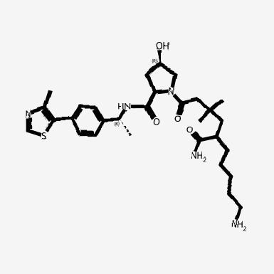 Cc1ncsc1-c1ccc([C@@H](C)NC(=O)C2C[C@@H](O)CN2C(=O)CC(C)(C)CC(CCCCCN)C(N)=O)cc1